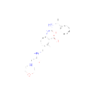 Cc1c(CNC(=O)CN2CCOCC2)ccc2nc(N[C@@H](C)c3ccccc3)oc(=O)c12